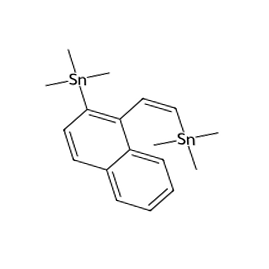 [CH3][Sn]([CH3])([CH3])/[CH]=C\c1[c]([Sn]([CH3])([CH3])[CH3])ccc2ccccc12